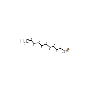 [CH2]CCCCCCCCC[CH]Br